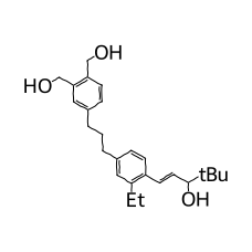 CCc1cc(CCCc2ccc(CO)c(CO)c2)ccc1C=CC(O)C(C)(C)C